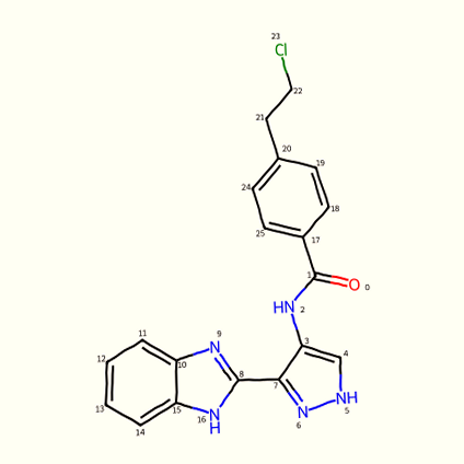 O=C(Nc1c[nH]nc1-c1nc2ccccc2[nH]1)c1ccc(CCCl)cc1